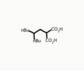 CCCCC(CCCC)CC(C(=O)O)C(=O)O